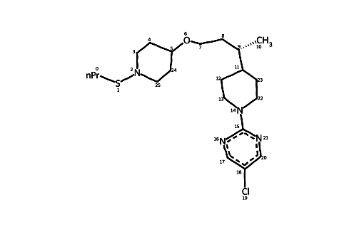 CCCSN1CCC(OCC[C@H](C)C2CCN(c3ncc(Cl)cn3)CC2)CC1